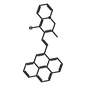 CC1=C(C=Cc2cc3cccc4ccc5cccc2c5c43)C(Cl)=C2C=CC=CN2C1